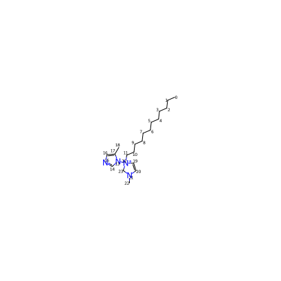 CCCCCCCCCCCC[N+]1(n2cncc2C)C=CN(C)C1